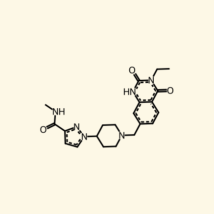 CCn1c(=O)[nH]c2cc(CN3CCC(n4ccc(C(=O)NC)n4)CC3)ccc2c1=O